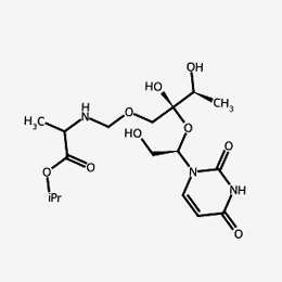 CC(C)OC(=O)C(C)NCOC[C@@](O)(O[C@H](CO)n1ccc(=O)[nH]c1=O)[C@H](C)O